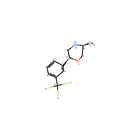 C[C@H]1CO[C@@H](c2cccc(C(F)(F)F)c2)CN1